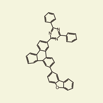 c1ccc(-c2nc(-c3ccccc3)nc(-c3ccc4c5ccccc5c5cc(-c6ccc7oc8ccccc8c7c6)ccc5c4c3)n2)cc1